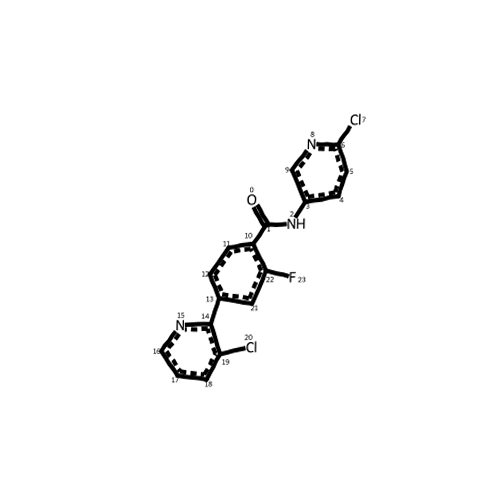 O=C(Nc1ccc(Cl)nc1)c1ccc(-c2ncccc2Cl)cc1F